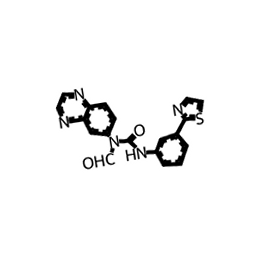 O=CN(C(=O)Nc1cccc(-c2nccs2)c1)c1ccc2nccnc2c1